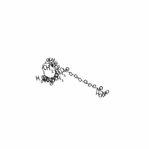 COc1cc2cc(c1Cl)N(C)C(=O)C[C@H](OC(=O)C1CCN(C(=O)CCOCCOCCOCCOCCOCCOCCNC(=O)CCN3C(=O)C=CC3=O)CC1)[C@@]1(C)O[C@H]1[C@H](C)[C@@H]1C[C@@](O)(NC(=O)O1)C(OC)/C=C/C=C(\C)C2